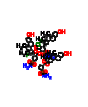 C=CC12CC[C@]3(C)C[C@@H](OC(=O)c4cccc(S(N)(=O)=O)c4)CC3C1CCc1cc(O)ccc12.C=C[C@@]12CC[C@@]3(C)C(C[C@H](c4cc(S(N)(=O)=O)ccc4C(=O)OC(=O)c4cc(S(N)(=O)=O)cc([C@@H]5CC6C7CCc8cc(O)ccc8[C@@]7(C=C)CC[C@]6(C)[C@H]5F)c4Cl)[C@H]3F)C1CCc1cc(O)ccc12